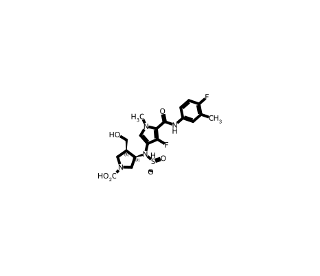 Cc1cc(NC(=O)c2c(F)c(N([C@H]3CN(C(=O)O)C[C@H]3CO)[SH](=O)=O)cn2C)ccc1F